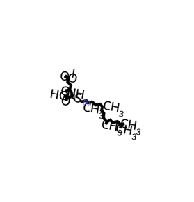 C/C(=C\CSC[C@H](NC(=O)CCC(=O)OI)C(=O)O)CCCC(C)CCCC(C)CCCC(C)C